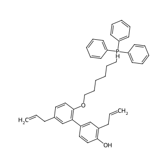 C=CCc1ccc(OCCCCCC[PH](c2ccccc2)(c2ccccc2)c2ccccc2)c(-c2ccc(O)c(CC=C)c2)c1